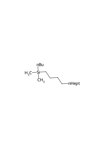 [CH2]CCCCCCCCCC[Si](C)(C)CCCC